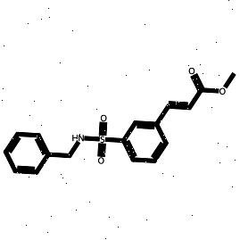 COC(=O)C=Cc1cccc(S(=O)(=O)NCc2ccccc2)c1